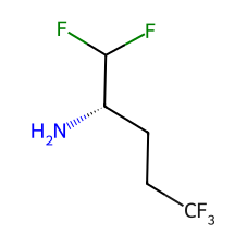 N[C@@H](CCC(F)(F)F)C(F)F